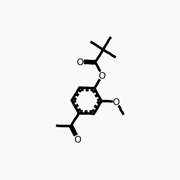 COc1cc(C(C)=O)ccc1OC(=O)C(C)(C)C